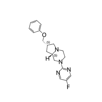 Fc1cnc(N2CCN3C[C@@H](COc4ccccc4)C[C@H]3C2)nc1